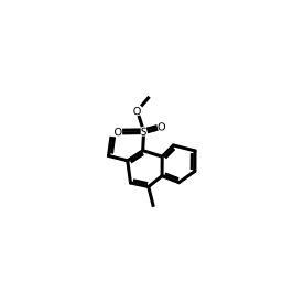 C=Cc1cc(C)c2ccccc2c1S(=O)(=O)OC